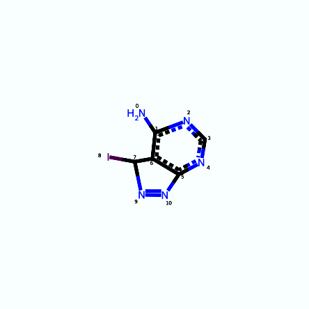 Nc1ncnc2c1C(I)N=N2